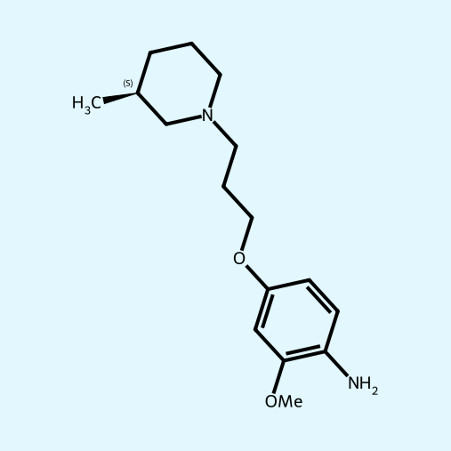 COc1cc(OCCCN2CCC[C@H](C)C2)ccc1N